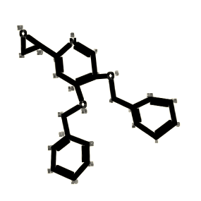 c1ccc(COc2cnc(C3CO3)cc2OCc2ccccc2)cc1